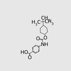 CC(C)(C)C1CCC(OC(=O)Nc2ccc(C(=O)O)cc2)CC1